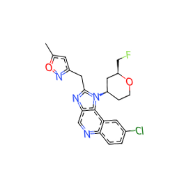 Cc1cc(Cc2nc3cnc4ccc(Cl)cc4c3n2[C@@H]2CCO[C@H](CF)C2)no1